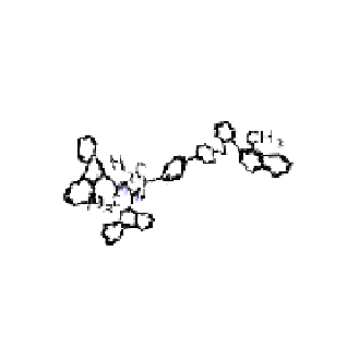 C=C(/N=C(\C=C(/C)c1cc2ccccc2c2ccccc12)c1cc2ccccc2c2ccccc12)c1ccc(-c2ccc(Cc3ccccc3-c3ccc4ccccc4c3C)cc2)cc1